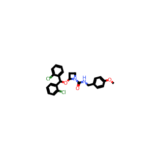 COc1ccc(CNC(=O)N2CCC2OC(c2ccccc2Cl)c2ccccc2Cl)cc1